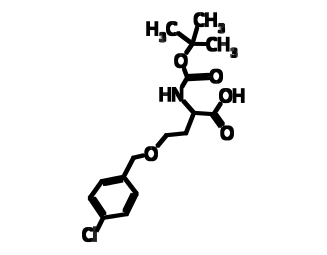 CC(C)(C)OC(=O)NC(CCOCc1ccc(Cl)cc1)C(=O)O